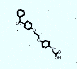 O=C(O)CNc1ccc(OCCOc2ccc(C(=O)c3ccccc3)cc2)cc1